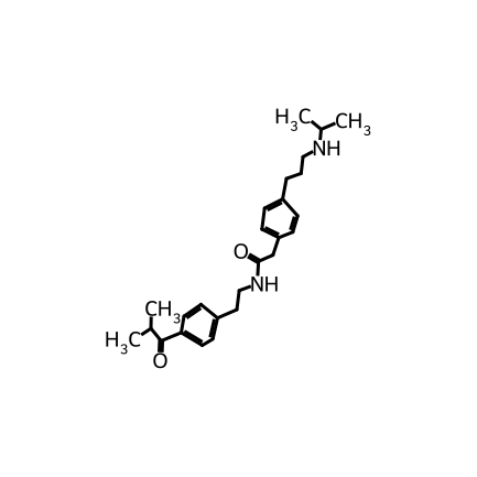 CC(C)NCCCc1ccc(CC(=O)NCCc2ccc(C(=O)C(C)C)cc2)cc1